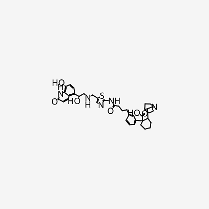 O=C(CCCc1cccc(C2(C(=O)O)CCCCC2C2CN3CCC2CC3)c1)Nc1ncc(CNC[C@H](O)c2ccc(O)c3[nH]c(=O)ccc23)s1